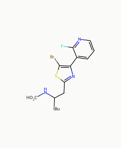 CC(C)(C)C(Cc1nc(-c2cccnc2F)c(Br)s1)NC(=O)O